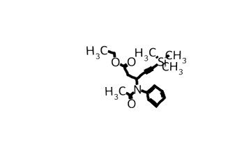 CCOC(=O)CC(C#C[Si](C)(C)C)N(C(C)=O)c1ccccc1